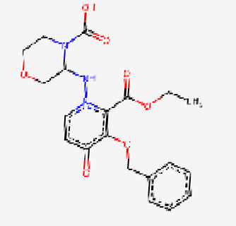 CCOC(=O)c1c(OCc2ccccc2)c(=O)ccn1NC1COCCN1C(=O)O